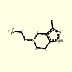 Cc1n[nH]c2c1CN(CCC(F)(F)F)CC2